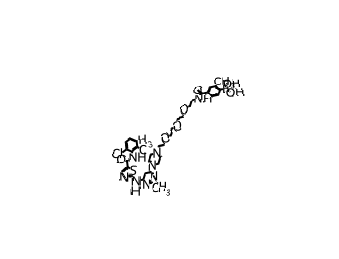 Cc1nc(Nc2ncc(C(=O)Nc3c(C)cccc3Cl)s2)cc(N2CCN(CCOCCOCCOCCNC(=O)c3ccc(B(O)O)c(C)c3)CC2)n1